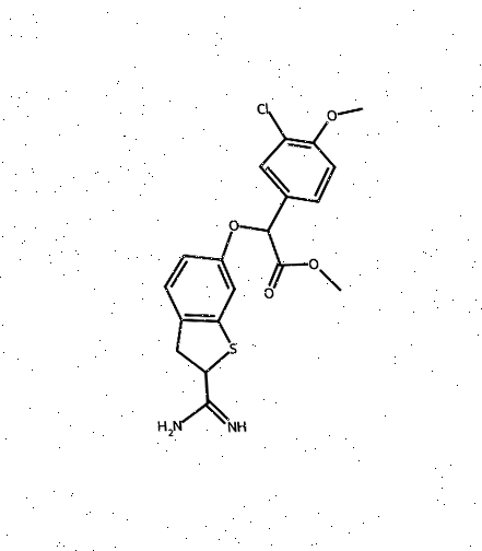 COC(=O)C(Oc1ccc2c(c1)SC(C(=N)N)C2)c1ccc(OC)c(Cl)c1